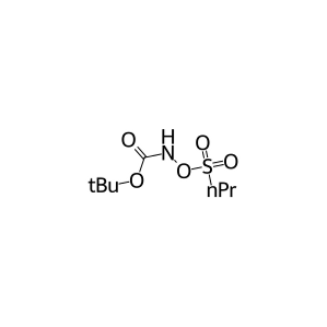 CCCS(=O)(=O)ONC(=O)OC(C)(C)C